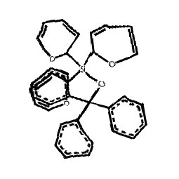 C1=COC([Si](OC(c2ccccc2)(c2ccccc2)c2ccccc2)(C2C=CC=CO2)C2C=CC=CO2)C=C1